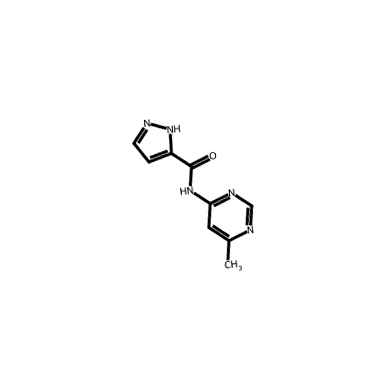 Cc1cc(NC(=O)c2ccn[nH]2)ncn1